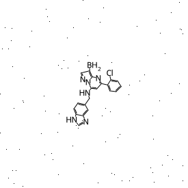 Bc1cnn2c(NCc3ccc4[nH]cnc4c3)cc(-c3ccccc3Cl)nc12